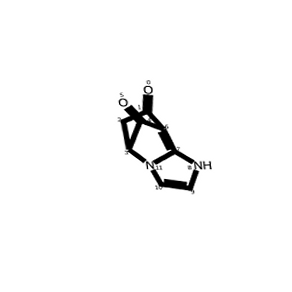 O=C1CC2C(=O)C1=C1NC=CN12